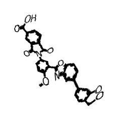 COc1ccc(N2C(=O)c3ccc(C(=O)O)cc3C2=O)cc1-c1nc2cc(-c3ccc4c(c3)OOC4)ccc2o1